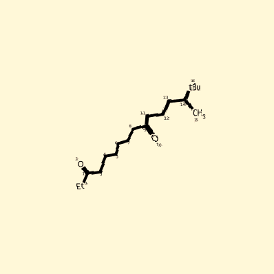 CCC(=O)CCCCCCC(=O)CCCC(C)C(C)(C)C